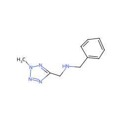 Cn1nnc(CNCc2ccccc2)n1